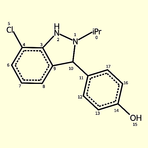 CC(C)N1Nc2c(Cl)cccc2C1c1ccc(O)cc1